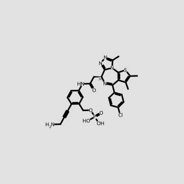 Cc1sc2c(c1C)C(c1ccc(Cl)cc1)=N[C@@H](CC(=O)Nc1ccc(C#CCN)c(COP(=O)(O)O)c1)c1nnc(C)n1-2